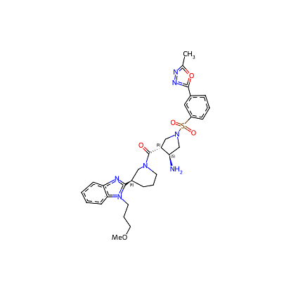 COCCCn1c([C@@H]2CCCN(C(=O)[C@@H]3CN(S(=O)(=O)c4cccc(-c5nnc(C)o5)c4)C[C@H]3N)C2)nc2ccccc21